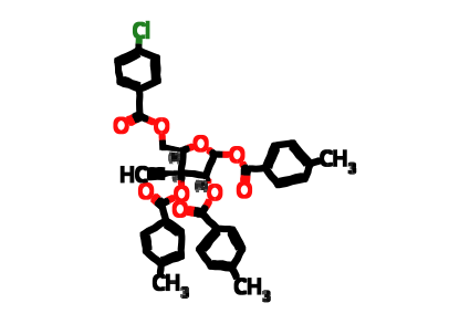 C#C[C@@]1(OC(=O)c2ccc(C)cc2)[C@@H](COC(=O)c2ccc(Cl)cc2)OC(OC(=O)c2ccc(C)cc2)[C@@H]1OC(=O)c1ccc(C)cc1